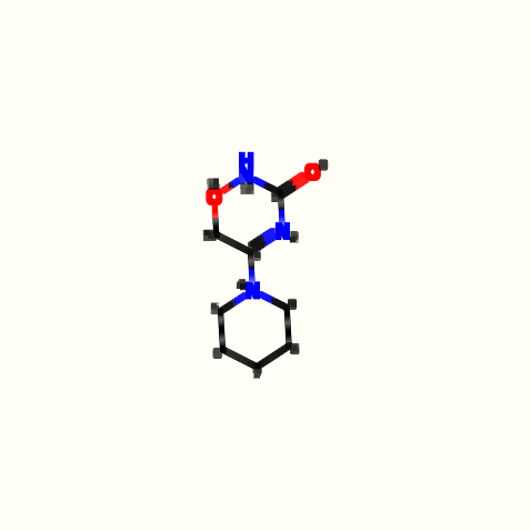 O=C1N=C(N2CCCCC2)CON1